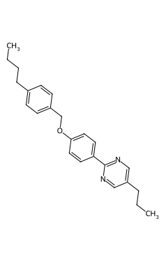 CCCCc1ccc(COc2ccc(-c3ncc(CCC)cn3)cc2)cc1